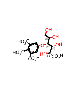 O=C(O)[C@H](O)[C@@H](O)[C@H](O)[C@H](O)CO.O=C(O)c1cccc(C(=O)O)c1C(=O)O